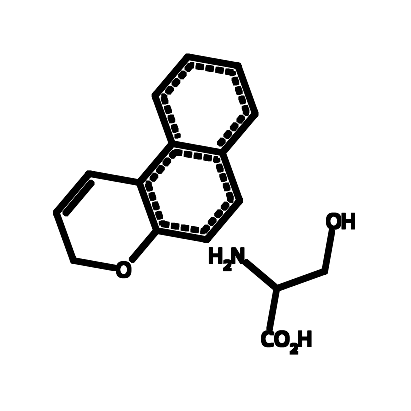 C1=Cc2c(ccc3ccccc23)OC1.NC(CO)C(=O)O